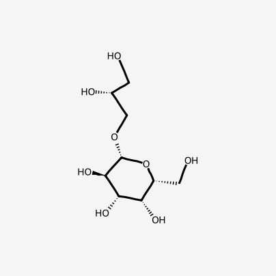 OC[C@@H](O)CO[C@@H]1O[C@H](CO)[C@H](O)[C@H](O)[C@H]1O